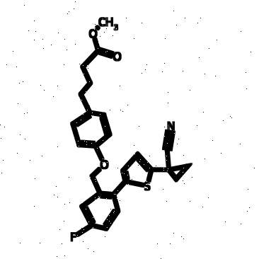 COC(=O)CCCc1ccc(OCc2cc(F)ccc2-c2ccc(C3(C#N)CC3)s2)cc1